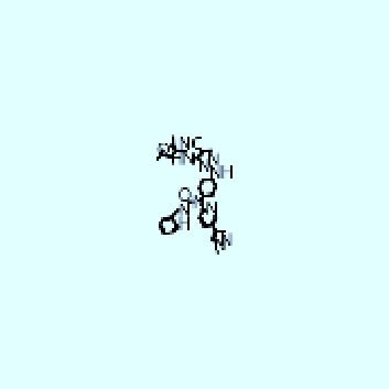 Cc1cc(CNc2nc(NC3CCC(N(C(=O)NCc4ccccc4)c4ccc(-c5cnn(C)c5)cn4)CC3)ncc2C#N)c(C)o1